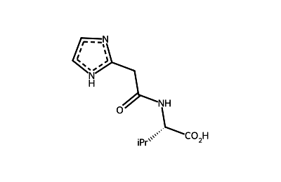 CC(C)[C@H](NC(=O)Cc1ncc[nH]1)C(=O)O